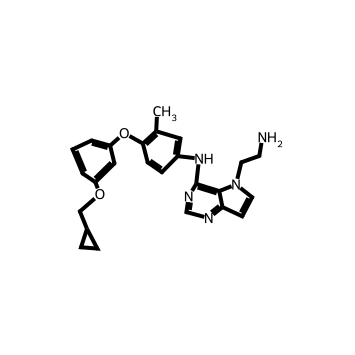 Cc1cc(Nc2ncnc3ccn(CCN)c23)ccc1Oc1cccc(OCC2CC2)c1